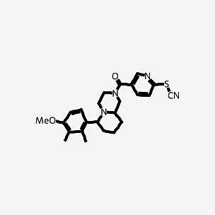 COc1ccc(C2CCCC3CN(C(=O)c4ccc(SC#N)nc4)CCN32)c(C)c1C